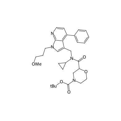 COCCCn1cc(CN(C(=O)C2CN(C(=O)OC(C)(C)C)CCO2)C2CC2)c2c(-c3ccccc3)ccnc21